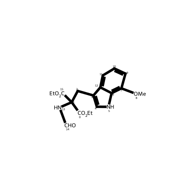 CCOC(=O)C(Cc1c[nH]c2c(OC)cccc12)(NC=O)C(=O)OCC